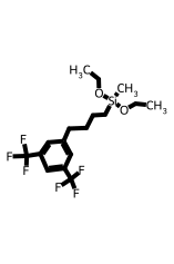 CCO[Si](C)(CCCCc1cc(C(F)(F)F)cc(C(F)(F)F)c1)OCC